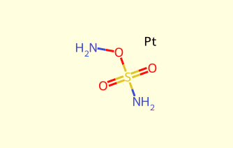 NOS(N)(=O)=O.[Pt]